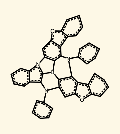 c1ccc(N2c3cc4oc5ccccc5c4c4c3B3c5c(cc6oc7ccccc7c6c5N4c4ccccc4)-n4c3c2c2ccccc24)cc1